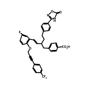 O=C(O)c1ccc(CC(C=Cc2cc(F)ccc2OCC#Cc2ccc(C(F)(F)F)cc2)CCc2ccc(-c3noc(=O)[nH]3)cc2)cc1